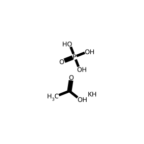 CC(=O)O.O=P(O)(O)O.[KH]